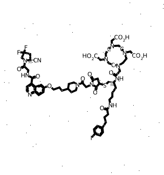 N#C[C@H]1CC(F)(F)CN1C(=O)CNC(=O)c1ccnc2ccc(OCCCC3CCN(C(=O)CN4C(=O)CC(SC[C@H](CCCCNC(=O)CCCc5ccc(I)cc5)NC(=O)CN5CCN(CC(=O)O)CCN(CC(=O)O)CCN(CC(=O)O)CC5)C4=O)CC3)cc12